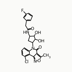 Cc1onc2c1c(=O)n(C1CC(NC(=O)Cc3cccc(F)c3)C(O)C1O)c1cccc(Cl)c21